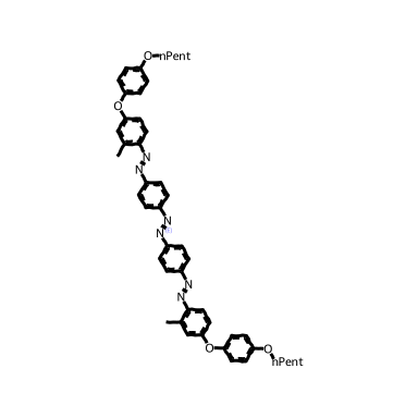 CCCCCOc1ccc(Oc2ccc(N=Nc3ccc(/N=N/c4ccc(N=Nc5ccc(Oc6ccc(OCCCCC)cc6)cc5C)cc4)cc3)c(C)c2)cc1